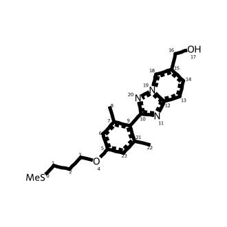 CSCCCOc1cc(C)c(-c2nc3ccc(CO)cn3n2)c(C)c1